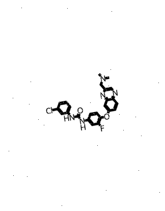 CN(C)Cc1cnc2ccc(Oc3ccc(NC(=O)Nc4cccc(Cl)c4)cc3F)cc2n1